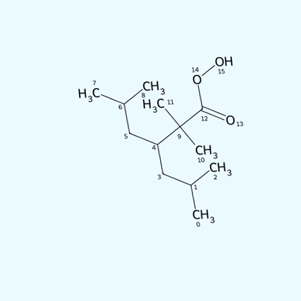 CC(C)CC(CC(C)C)C(C)(C)C(=O)OO